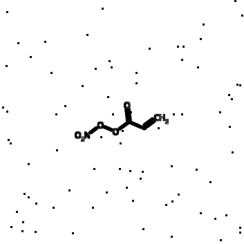 C=CC(=O)OO[N+](=O)[O-]